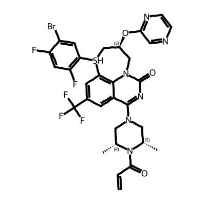 C=CC(=O)N1[C@H](C)CN(c2nc(=O)n3c4c(cc(C(F)(F)F)cc24)[SH](c2cc(Br)c(F)cc2F)C[C@@H](Oc2cnccn2)C3)C[C@@H]1C